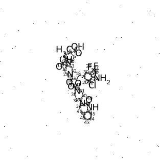 CC1(C(=O)O)CC[N+](C2(C(=O)O)CCN(C(=O)[C@@H](Cc3cc(Cl)c(N)c(C(F)(F)F)c3)OC(=O)N3CCC(N4CCc5ccccc5NC4=O)CC3)CC2)CC1